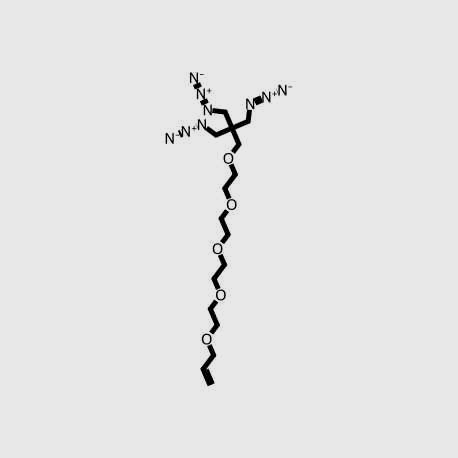 C=CCOCCOCCOCCOCCOCC(CN=[N+]=[N-])(CN=[N+]=[N-])CN=[N+]=[N-]